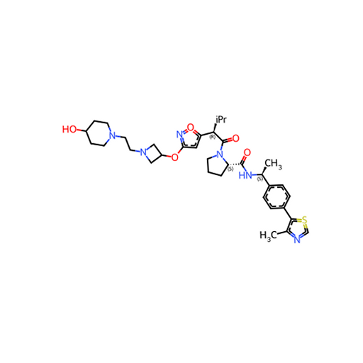 Cc1ncsc1-c1ccc([C@H](C)NC(=O)[C@@H]2CCCN2C(=O)[C@@H](c2cc(OC3CN(CCN4CCC(O)CC4)C3)no2)C(C)C)cc1